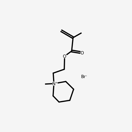 C=C(C)C(=O)OCC[N+]1(C)CCCCC1.[Br-]